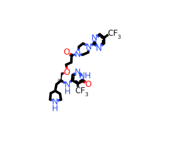 O=C(CCOC[C@H](CC1CCNCC1)Nc1cn[nH]c(=O)c1C(F)(F)F)N1CCN(c2ncc(C(F)(F)F)cn2)CC1